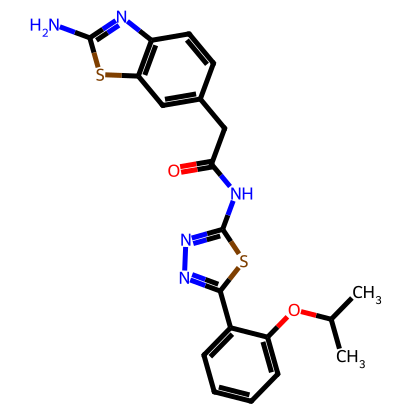 CC(C)Oc1ccccc1-c1nnc(NC(=O)Cc2ccc3nc(N)sc3c2)s1